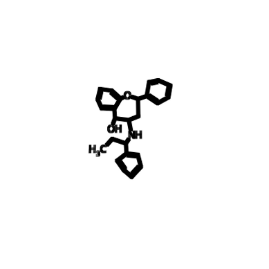 CCC(NC1CC(c2ccccc2)Oc2ccccc2C1O)c1ccccc1